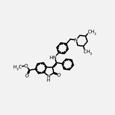 COC(=O)c1ccc2c(c1)NC(=O)C2=C(Nc1ccc(CN2CC(C)CC(C)C2)cc1)c1ccccc1